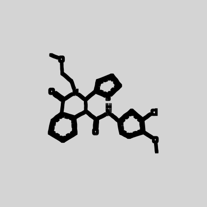 COCCN1C(=O)c2ccccc2C(C(=O)Nc2ccc(OC)c(Cl)c2)C1c1cccs1